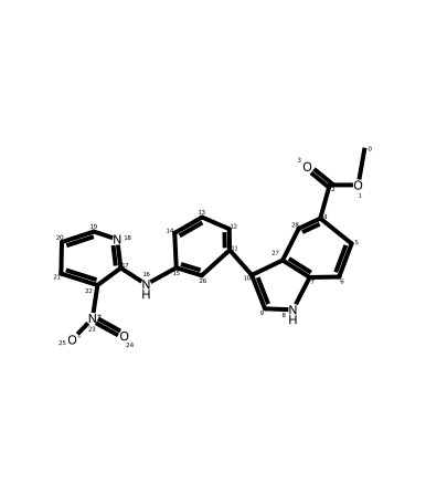 COC(=O)c1ccc2[nH]cc(-c3cccc(Nc4ncccc4[N+](=O)[O-])c3)c2c1